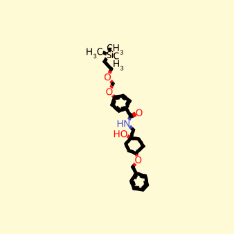 C[Si](C)(C)CCOCOc1ccc(C(=O)NCC2(O)CCC(OCc3ccccc3)CC2)cc1